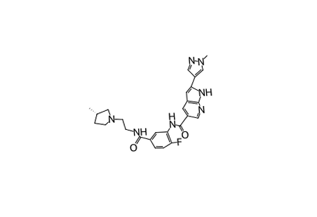 C[C@H]1CCN(CCNC(=O)c2ccc(F)c(NC(=O)c3cnc4[nH]c(-c5cnn(C)c5)cc4c3)c2)C1